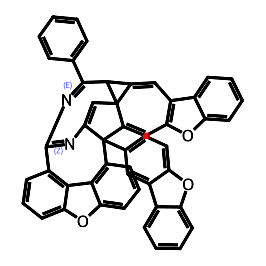 C1=C2/N=C3\N=C(\c4ccccc4)C4C5=Cc6c(oc7ccccc67)C=C(C2(c2ccc6oc7ccccc7c6c2)c2cccc6oc7cccc3c7c26)C154